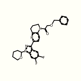 O=C(COCc1ccccc1)N1CCCc2nc(-c3nn(C4CCCCO4)c4cc(F)c(F)cc34)ccc21